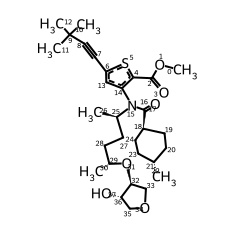 COC(=O)c1sc(C#CC(C)(C)C)cc1N(C(=O)[C@H]1CC[C@H](C)CC1)[C@H](C)CC[C@@H](C)O[C@H]1COC[C@@H]1O